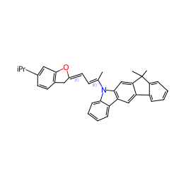 C/C(=C\C=C1/Cc2ccc(C(C)C)cc2O1)n1c2ccccc2c2cc3c(cc21)C(C)(C)c1ccccc1-3